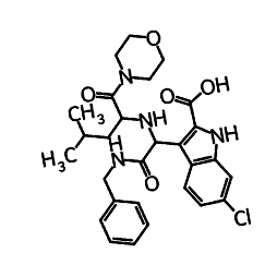 CC(C)CC(NC(C(=O)NCc1ccccc1)c1c(C(=O)O)[nH]c2cc(Cl)ccc12)C(=O)N1CCOCC1